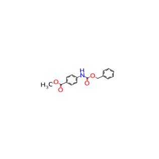 COC(=O)c1ccc(NC(=O)OCc2ccccc2)cc1